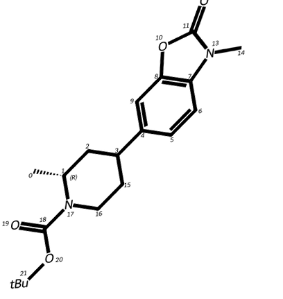 C[C@@H]1CC(c2ccc3c(c2)oc(=O)n3C)CCN1C(=O)OC(C)(C)C